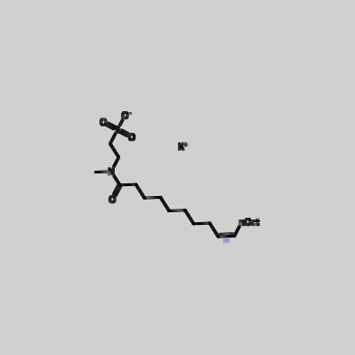 CCCCCCCC/C=C\CCCCCCCC(=O)N(C)CCS(=O)(=O)[O-].[K+]